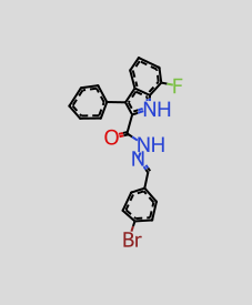 O=C(NN=Cc1ccc(Br)cc1)c1[nH]c2c(F)cccc2c1-c1ccccc1